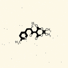 Cc1ccc(C[C@H](C)C(=O)C2C(=O)OC(C)(C)OC2=O)cn1